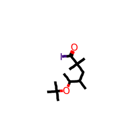 CC(CC(C)(C)C(=O)I)C(C)OC(C)(C)C